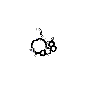 C[C@H]1[C@@H](OCCO)/C=C/CCC/[SH](=O)=N\C(=O)c2ccc3c(c2)N(C[C@@H]1C)C[C@@]1(CCCc2cc(Cl)ccc21)CO3